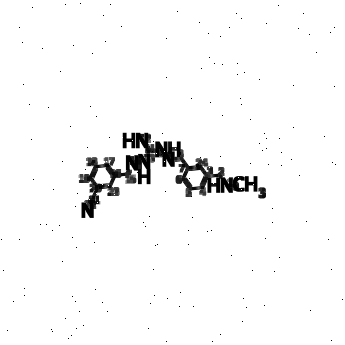 CNCc1cccc(/C=N/NC(=N)N/N=C/c2cccc(C#N)c2)c1